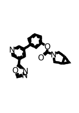 O=C(Oc1cccc(-c2cncc(-c3nnco3)c2)c1)N1CC2CC2C1